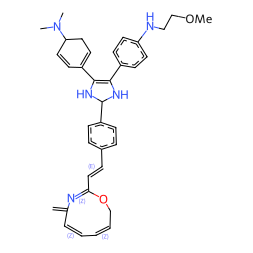 C=C1/C=C\C=C/COC(/C=C/c2ccc(C3NC(C4=CCC(N(C)C)C=C4)=C(c4ccc(NCCOC)cc4)N3)cc2)=N\1